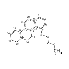 CCCCCc1cccc2ccc3c(c12)CCC1=C3C=CCC1